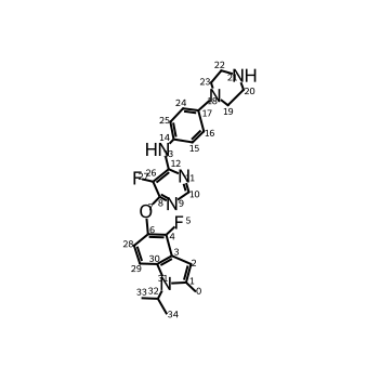 Cc1cc2c(F)c(Oc3ncnc(Nc4ccc(N5CCNCC5)cc4)c3F)ccc2n1C(C)C